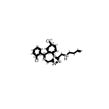 C=CCCNCc1nnc2n1-c1ccc(Cl)cc1C(c1ccccc1Cl)=NC2